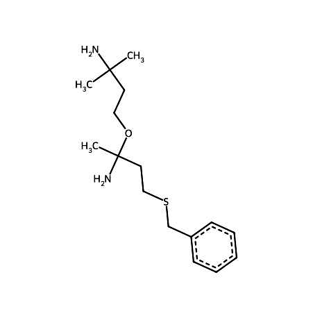 CC(C)(N)CCOC(C)(N)CCSCc1ccccc1